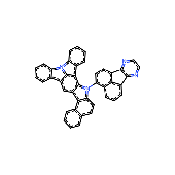 c1ccc2c(c1)ccc1c2c2cc3c4ccccc4n4c5ccccc5c(c2n1-c1ccc2c5c(cccc15)-c1nccnc1-2)c34